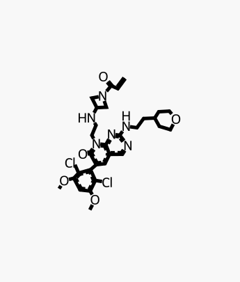 C=CC(=O)N1CC(NCCn2c(=O)c(-c3c(Cl)c(OC)cc(OC)c3Cl)cc3cnc(NCCC4CCOCC4)nc32)C1